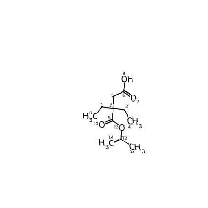 CCC(CC)(CC(=O)O)C(=O)OC(C)C